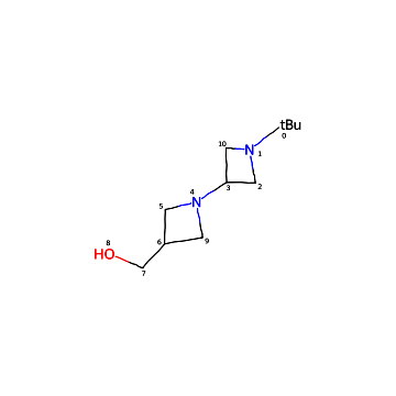 CC(C)(C)N1CC(N2CC(CO)C2)C1